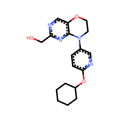 OCc1ncc2c(n1)N(c1ccc(OC3CCCCC3)nc1)CCO2